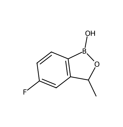 CC1OB(O)c2ccc(F)cc21